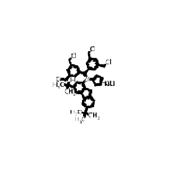 CC(C)(C)c1ccc2c(c1)-c1cc(C(C)(C)C)c[c]([Zr]([C]3=CC=CC3)=[C](c3cc(CCl)cc(CCl)c3)c3cc(CCl)cc(CCl)c3)c1C2.Cl.Cl